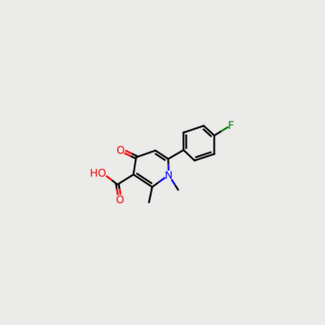 Cc1c(C(=O)O)c(=O)cc(-c2ccc(F)cc2)n1C